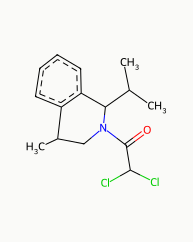 CC1CN(C(=O)C(Cl)Cl)C(C(C)C)c2ccccc21